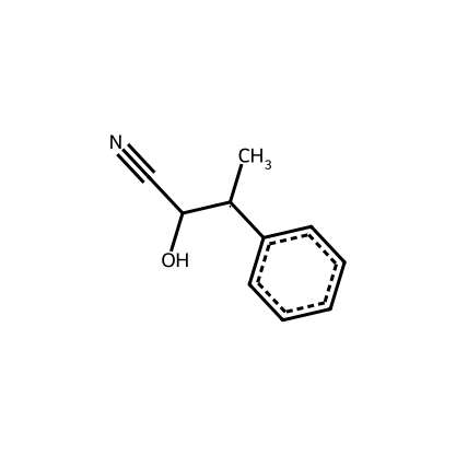 C[C](c1ccccc1)C(O)C#N